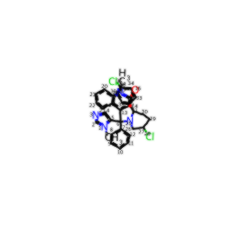 Cn1cncc1C(c1ccccc1)(c1cc(=O)n(C)c2ccccc12)N1CC(Cl)CCC1c1ccc(Cl)cc1